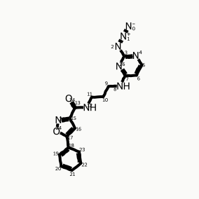 [N-]=[N+]=Nc1nccc(NCCCNC(=O)c2cc(-c3ccccc3)on2)n1